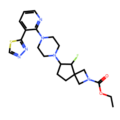 CCOC(=O)N1CC2(CCC(N3CCN(c4ncccc4-c4nncs4)CC3)C2F)C1